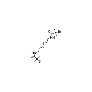 C=C(NCCSSCCNC(=O)C(C)(C)Br)C(C)(C)Br